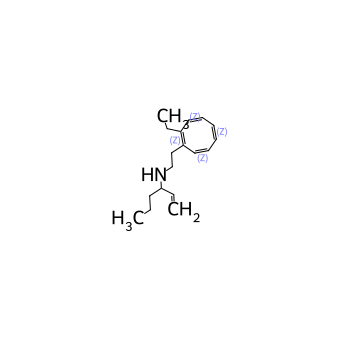 C=CC(CCC)NCCC1=C(CC)/C=C\C=C/C=C\1